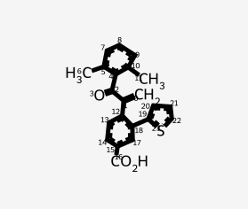 C=C(C(=O)c1c(C)cccc1C)c1ccc(C(=O)O)cc1-c1cccs1